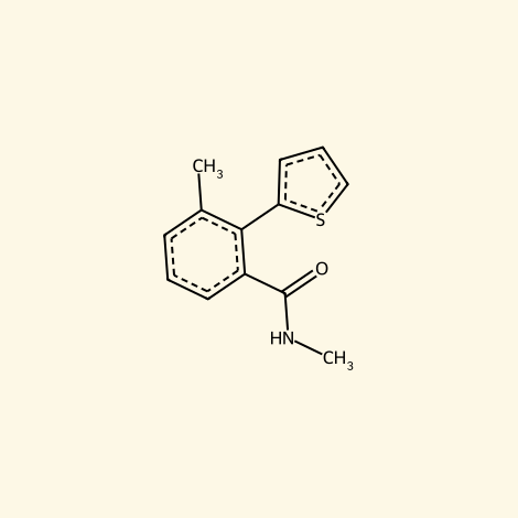 CNC(=O)c1cccc(C)c1-c1cccs1